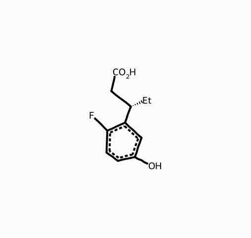 CC[C@@H](CC(=O)O)c1cc(O)ccc1F